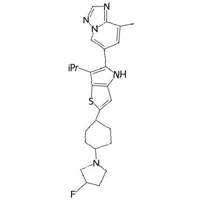 Cc1cc(-c2[nH]c3cc(C4CCC(N5CCC(F)C5)CC4)sc3c2C(C)C)cn2ncnc12